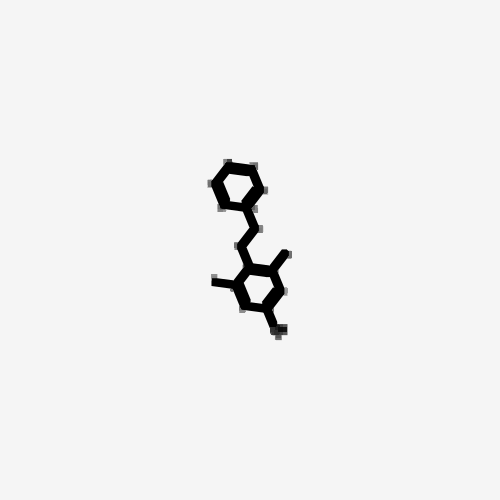 Cc1cc(O)cc(C)c1CCc1ccccc1